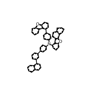 c1cc(-c2ccc(N(c3ccc(-c4cccc5oc6ccccc6c45)cc3)c3cccc4oc5c6ccccc6ccc5c34)cc2)cc(-c2cccc3ccccc23)c1